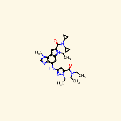 CCN(CC)C(=O)c1cc(Nc2cc3c(cc(C(=O)N(C4CC4)C4CC4)n3CC)c3c2ncn3C)nn1CC